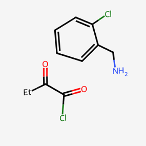 CCC(=O)C(=O)Cl.NCc1ccccc1Cl